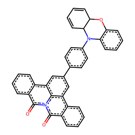 O=c1c2ccccc2c2cc(-c3ccc(N4c5ccccc5OC5C=CC=CC54)cc3)cc3c4ccccc4c(=O)n1c23